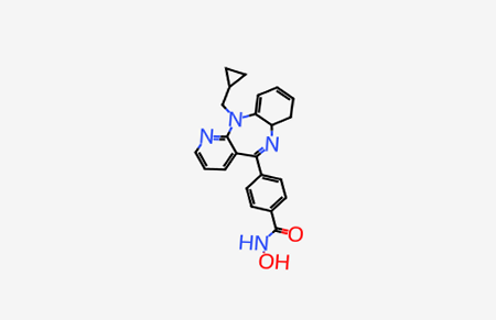 O=C(NO)c1ccc(C2=NC3CC=CC=C3N(CC3CC3)c3ncccc32)cc1